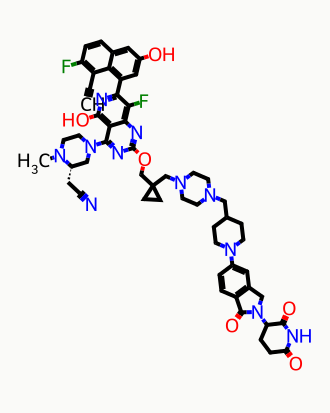 C#Cc1c(F)ccc2cc(O)cc(-c3nc(O)c4c(N5CCN(C)[C@@H](CC#N)C5)nc(OCC5(CN6CCN(CC7CCN(c8ccc9c(c8)CN(C8CCC(=O)NC8=O)C9=O)CC7)CC6)CC5)nc4c3F)c12